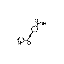 O=C(C#CC1CCN(C(=O)O)CC1)c1cccnc1